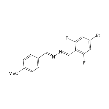 CCc1cc(F)c(/C=N/N=C/c2ccc(OC)cc2)c(F)c1